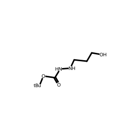 CC(C)(C)OC(=O)NNCCCO